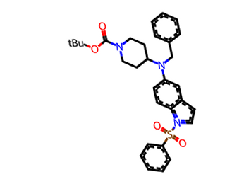 CC(C)(C)OC(=O)N1CCC(N(Cc2ccccc2)c2ccc3c(ccn3S(=O)(=O)c3ccccc3)c2)CC1